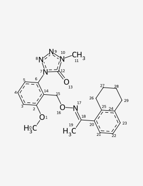 COc1cccc(-n2nnn(C)c2=O)c1CON=C(C)c1cccc2c1CCCC2